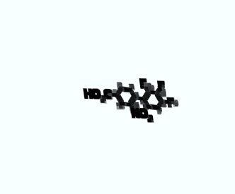 O=C(O)c1ccc(-c2ccc(F)c(F)c2F)c([N+](=O)[O-])c1